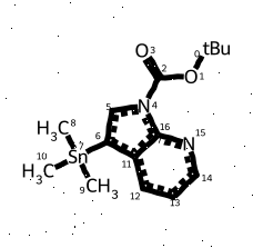 CC(C)(C)OC(=O)n1c[c]([Sn]([CH3])([CH3])[CH3])c2cccnc21